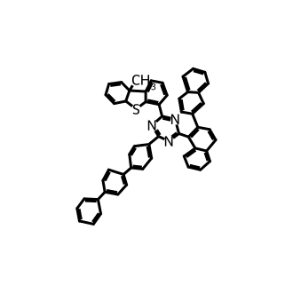 CC12C=CC=CC1Sc1c(-c3nc(-c4ccc(-c5ccc(-c6ccccc6)cc5)cc4)nc(-c4c(-c5ccc6ccccc6c5)ccc5ccccc45)n3)cccc12